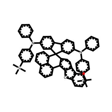 C[Si](C)(C)c1ccc(N(c2ccccc2)c2ccc3c(c2)C2(c4cc(N(c5ccccc5)c5ccc([Si](C)(C)C)cc5)ccc4-3)c3ccc4c(oc5ccccc54)c3-c3cccc4cccc2c34)cc1